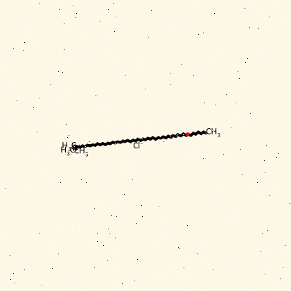 CCCCCCCCCCCCCCCCCCCCCCCCCCCCCCCCCCCCCCCCCCCCCCCCCCCCC[P+](C)(C)C.[Cl-]